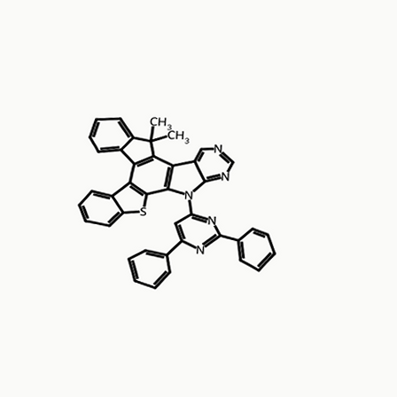 CC1(C)c2ccccc2-c2c1c1c3cncnc3n(-c3cc(-c4ccccc4)nc(-c4ccccc4)n3)c1c1sc3ccccc3c21